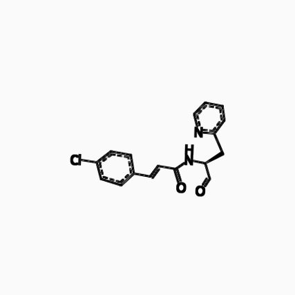 O=C[C@H](Cc1ccccn1)NC(=O)/C=C/c1ccc(Cl)cc1